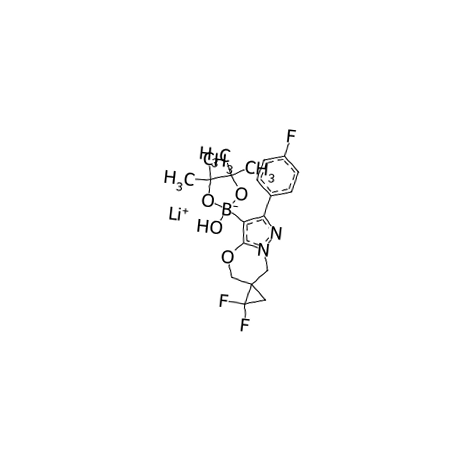 CC1(C)O[B-](O)(c2c(-c3ccc(F)cc3)nn3c2OCC2(C3)CC2(F)F)OC1(C)C.[Li+]